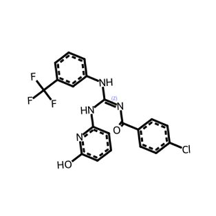 O=C(/N=C(/Nc1cccc(C(F)(F)F)c1)Nc1cccc(O)n1)c1ccc(Cl)cc1